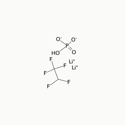 FC(F)C(F)(F)F.O=P([O-])([O-])O.[Li+].[Li+]